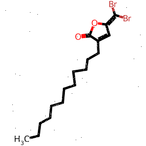 CCCCCCCCCCCCC1=CC(=C(Br)Br)OC1=O